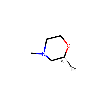 CC[C@@H]1CN(C)CCO1